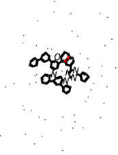 c1ccc(-c2cccc(-c3cc(-n4c5ccccc5c5cc6c7ccccc7n(-c7nc(-c8ccccc8)nc(-c8ccccc8)n7)c6cc54)cc4c3oc3ccccc34)c2)cc1